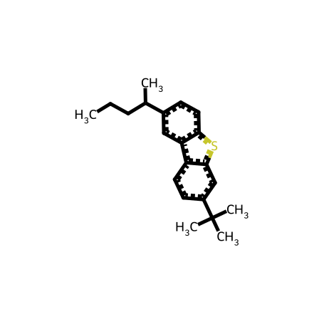 CCCC(C)c1ccc2sc3cc(C(C)(C)C)ccc3c2c1